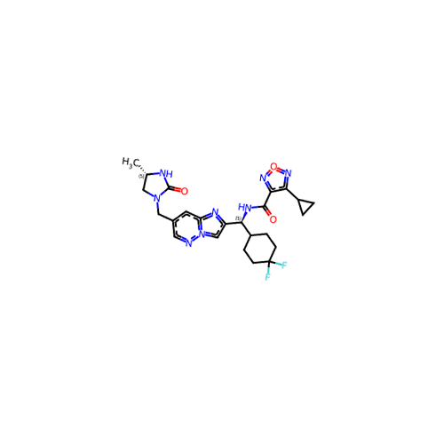 C[C@H]1CN(Cc2cnn3cc([C@@H](NC(=O)c4nonc4C4CC4)C4CCC(F)(F)CC4)nc3c2)C(=O)N1